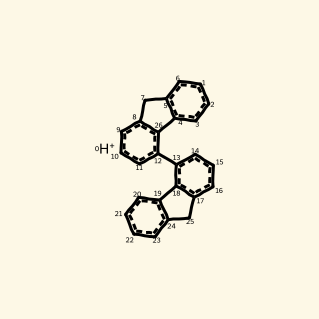 [H+].c1ccc2c(c1)Cc1cccc(-c3cccc4c3-c3ccccc3C4)c1-2